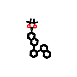 CC1(C)OB(c2ccc3cc(-c4ccccc4-c4cccc5ccccc45)ccc3c2)OC1(C)C